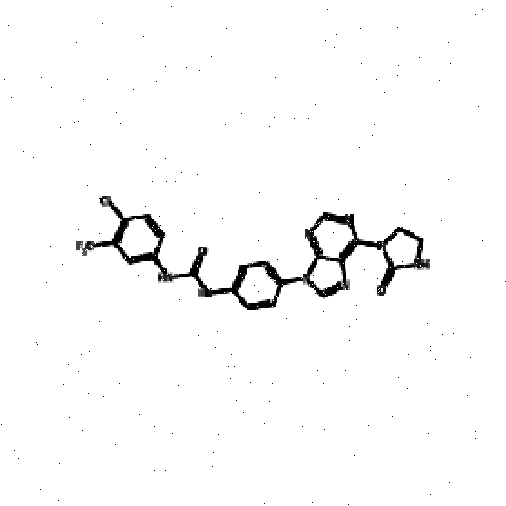 O=C(Nc1ccc(-n2cnc3c(N4CCNC4=O)ncnc32)cc1)Nc1ccc(Cl)c(C(F)(F)F)c1